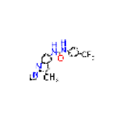 Cc1cc2cc(NC(=O)Nc3ccc(C(F)(F)F)cc3)ccc2nc1N1CCC1